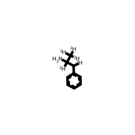 [2H]C(c1ccccc1)C([2H])(N)C([2H])([2H])[2H]